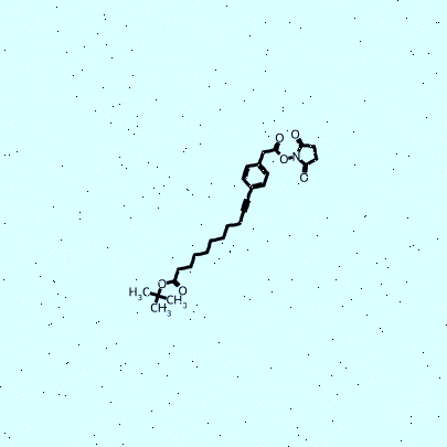 CC(C)(C)OC(=O)CCCCCCCCC#Cc1ccc(CC(=O)ON2C(=O)CCC2=O)cc1